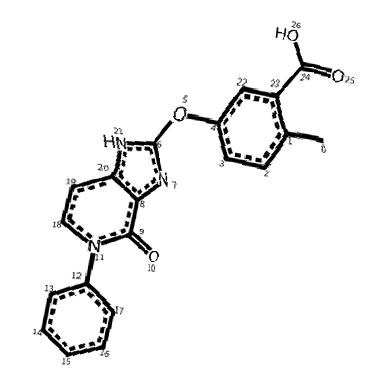 Cc1ccc(Oc2nc3c(=O)n(-c4ccccc4)ccc3[nH]2)cc1C(=O)O